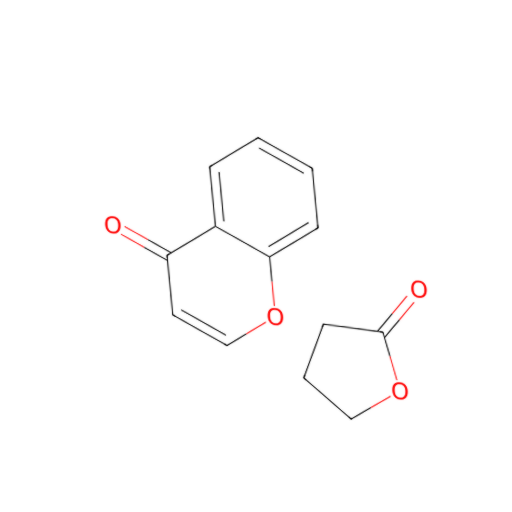 O=C1CCCO1.O=c1ccoc2ccccc12